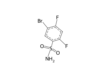 NS(=O)(=O)c1cc(Br)c(F)cc1F